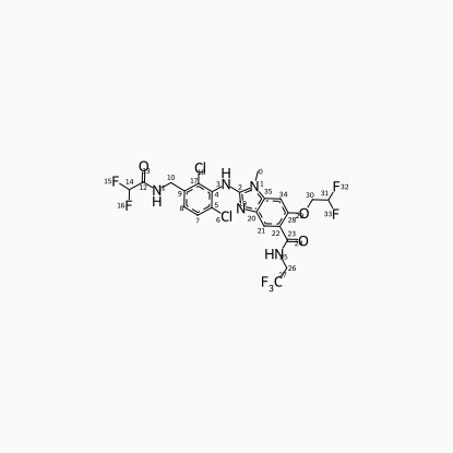 Cn1c(Nc2c(Cl)ccc(CNC(=O)C(F)F)c2Cl)nc2cc(C(=O)NCC(F)(F)F)c(OCC(F)F)cc21